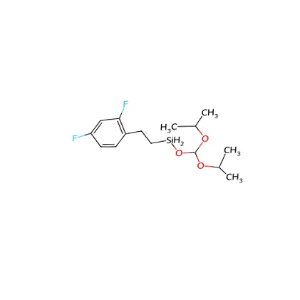 CC(C)OC(O[SiH2]CCc1ccc(F)cc1F)OC(C)C